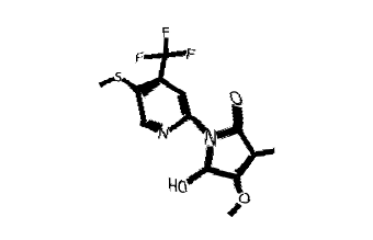 COC1=C(C)C(=O)N(c2cc(C(F)(F)F)c(SC)cn2)C1O